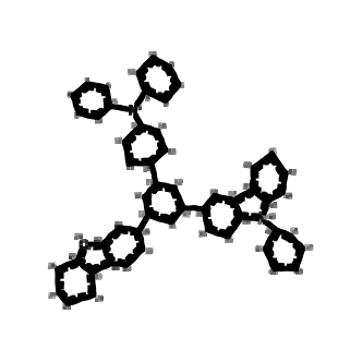 c1ccc(N(c2ccccc2)c2ccc(-c3cc(-c4ccc5c(c4)oc4ccccc45)cc(-c4ccc5c(c4)c4ccccc4n5-c4ccccc4)c3)cc2)cc1